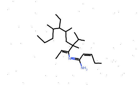 C\C=C(/N=C(N)\C=C/CC)C(C)(CC(C)C(CC)C(C)CCC)C(C)C